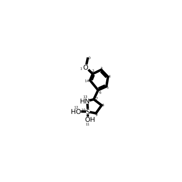 COc1cccc(C2CCS(O)(O)N2)c1